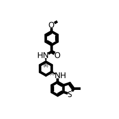 COc1ccc(C(=O)N[C@@H]2CCC[C@H](Nc3cccc4sc(C)cc34)C2)cc1